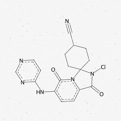 N#CC1CCC2(CC1)N(Cl)C(=O)c1ccc(Nc3ccncn3)c(=O)n12